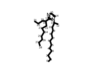 CCCCCCCCCCCC(C)n1ccnc1C(CCC)CCCCCCC